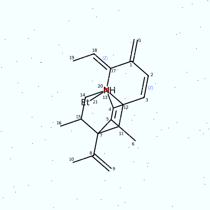 C=C(/C=C\C1=C(C)C2(C(=C)C)CCN1CC2C)/C(=C/C)NCC